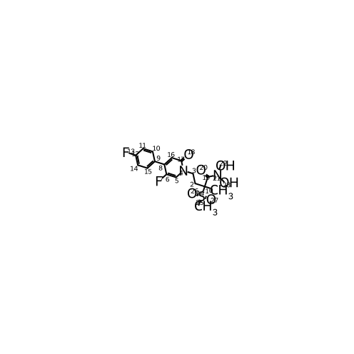 CC(CCn1cc(F)c(-c2ccc(F)cc2)cc1=O)(C(=O)N(O)O)S(C)(=O)=O